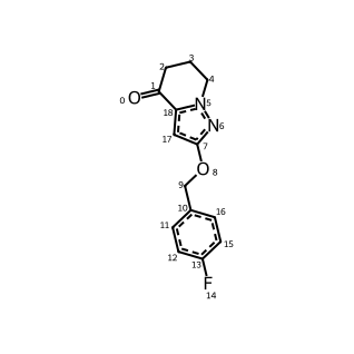 O=C1CCCn2nc(OCc3ccc(F)cc3)cc21